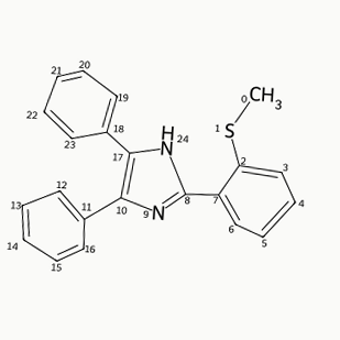 CSc1ccccc1-c1nc(-c2ccccc2)c(-c2ccccc2)[nH]1